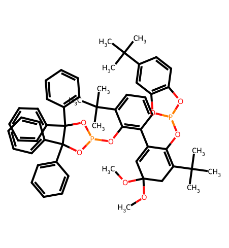 COC1(OC)C=C(c2cccc(C(C)(C)C)c2OP2OC(c3ccccc3)(c3ccccc3)C(c3ccccc3)(c3ccccc3)O2)C(OP2Oc3ccc(C(C)(C)C)cc3O2)=C(C(C)(C)C)C1